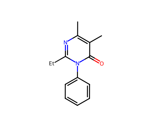 CCc1nc(C)c(C)c(=O)n1-c1ccccc1